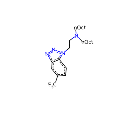 CCCCCCCCN(CCCCCCCC)CCn1nnc2cc(C(F)(F)F)ccc21